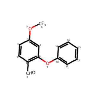 O=Cc1ccc(OC(F)(F)F)cc1Oc1ccccc1